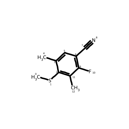 CSc1c(C)cc(C#N)c(F)c1C